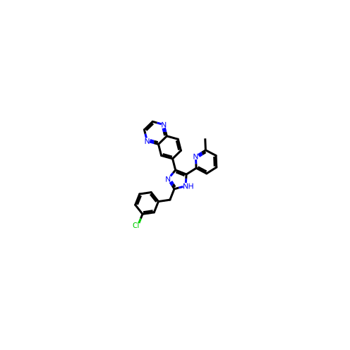 Cc1cccc(-c2[nH]c(Cc3cccc(Cl)c3)nc2-c2ccc3nccnc3c2)n1